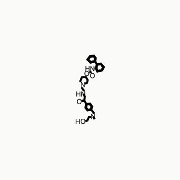 CN(CCO)Cc1ccc(C(=O)CNCCN2CCC(OC(=O)Nc3ccccc3-c3ccccc3)CC2)cc1